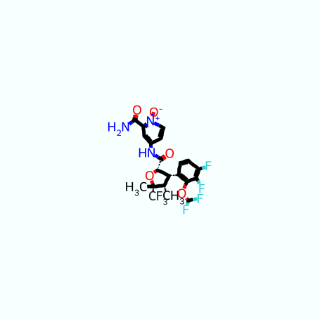 C[C@H]1[C@@H](c2ccc(F)c(F)c2OC(F)F)[C@@H](C(=O)Nc2cc[n+]([O-])c(C(N)=O)c2)O[C@@]1(C)C(F)(F)F